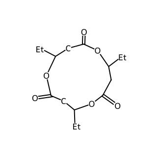 CCC1CC(=O)OC(CC)CC(=O)OC(CC)CC(=O)O1